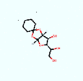 OCC(O)[C@H]1O[C@@H]2OC3(CCCCC3)O[C@@H]2[C@H]1O